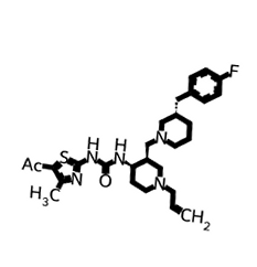 C=CCN1CC[C@@H](NC(=O)Nc2nc(C)c(C(C)=O)s2)[C@@H](CN2CCC[C@@H](Cc3ccc(F)cc3)C2)C1